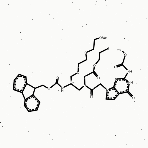 COCCOCCOC[C@@H](CN(CC(=O)OCCI)C(=O)Cn1ccc2c(=O)[nH]c(NC(=O)OC(C)(C)C)nc21)NC(=O)OCC1c2ccccc2-c2ccccc21